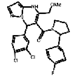 COCC1=C(C(=O)N2CCCC2c2ccc(F)cc2)C(c2ccc(Cl)c(Cl)c2)n2nccc2N1